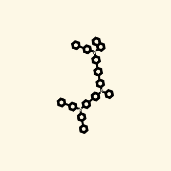 c1ccc(-c2ccc(N(c3ccc(-c4ccccc4)cc3)c3ccc(-c4ccc(N(c5ccccc5)c5ccc(-c6ccc(-c7ccc(N(c8ccc(-c9ccccc9)cc8)c8cccc9ccccc89)cc7)cc6)cc5)cc4)cc3)cc2)cc1